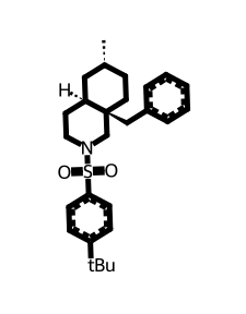 C[C@@H]1CC[C@]2(Cc3ccccc3)CN(S(=O)(=O)c3ccc(C(C)(C)C)cc3)CC[C@H]2C1